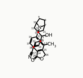 Cc1c(C(O)CN2C3CCC2CN(c2ccc(C#N)cn2)C3)ccc2c1COC2=O